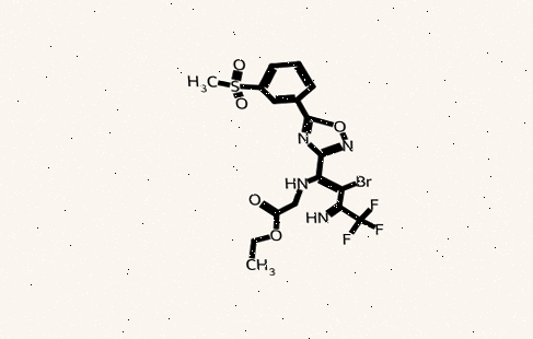 CCOC(=O)CN/C(=C(/Br)C(=N)C(F)(F)F)c1noc(-c2cccc(S(C)(=O)=O)c2)n1